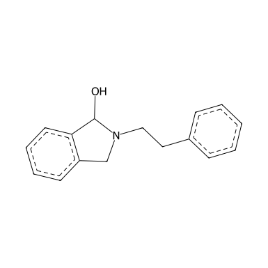 OC1c2ccccc2CN1CCc1ccccc1